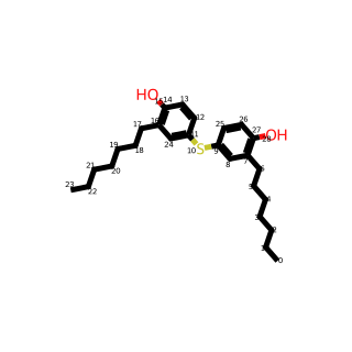 CCCCCCCc1cc(Sc2ccc(O)c(CCCCCCC)c2)ccc1O